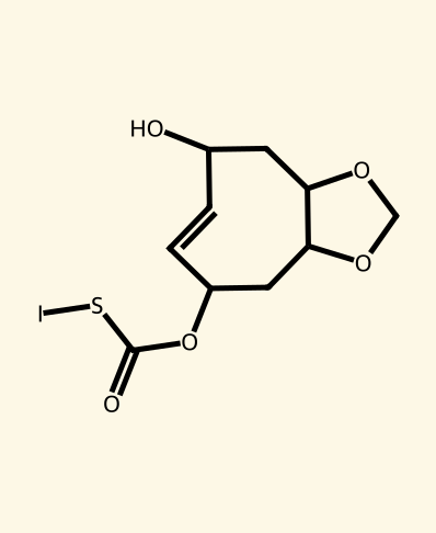 O=C(OC1/C=C/C(O)CC2OCOC2C1)SI